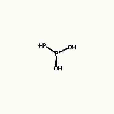 OP(O)[PH]